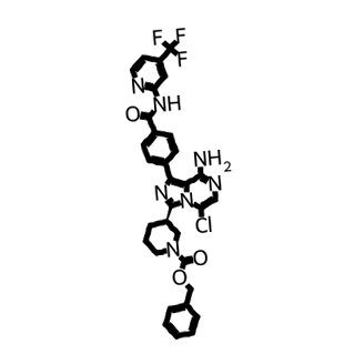 Nc1ncc(Cl)n2c([C@@H]3CCCN(C(=O)OCc4ccccc4)C3)nc(-c3ccc(C(=O)Nc4cc(C(F)(F)F)ccn4)cc3)c12